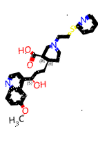 COc1ccc2nccc([C@@H](O)CC[C@@H]3CCN(CCSc4ccccn4)C[C@@H]3C(=O)O)c2c1